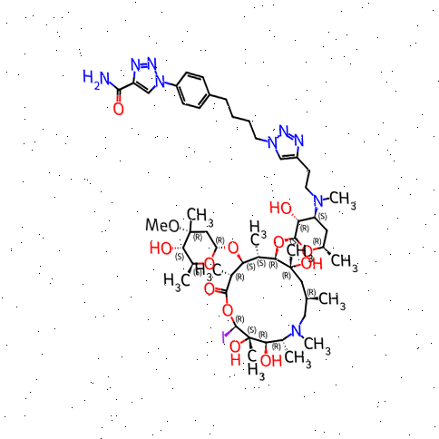 CO[C@]1(C)C[C@H](O[C@H]2[C@H](C)[C@@H](O[C@@H]3O[C@H](C)C[C@H](N(C)CCc4cn(CCCCc5ccc(-n6cc(C(N)=O)nn6)cc5)nn4)[C@H]3O)[C@](C)(O)C[C@@H](C)CN(C)[C@H](C)[C@@H](O)[C@](C)(O)[C@@H](I)OC(=O)[C@@H]2C)O[C@@H](C)[C@@H]1O